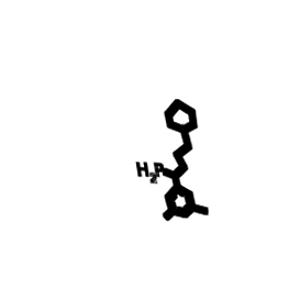 Cc1cc(C)cc(C(P)CCC[C]2CCCCC2)c1